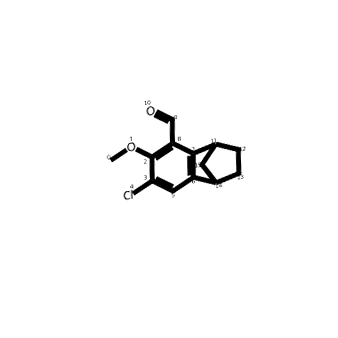 COc1c(Cl)cc2c(c1C=O)C1CCC2C1